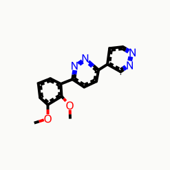 COc1cccc(-c2ccc(-c3[c]nncc3)nn2)c1OC